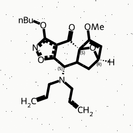 C=CCN(CC=C)[C@@H]1c2onc(OCCCC)c2C(=O)[C@@]23O[C@@H](C=C2OC)CC13